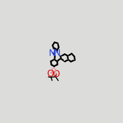 CC1OB(c2ccc3c(c2)c2cc4ccccc4cc2n2c4ccccc4nc32)OC1(C)C